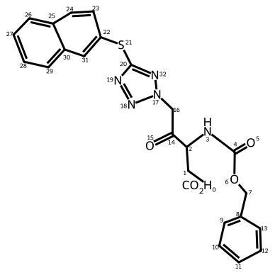 O=C(O)CC(NC(=O)OCc1ccccc1)C(=O)Cn1nnc(Sc2ccc3ccccc3c2)n1